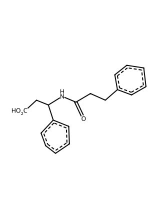 O=C(O)CC(NC(=O)CCc1ccccc1)c1ccccc1